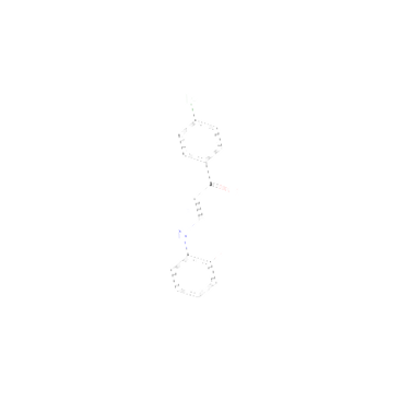 O=C(/C=C/Nc1ccccc1O)c1ccc(Br)cc1